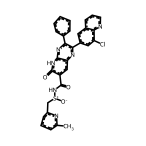 Cc1cccc(C[S+]([O-])NC(=O)c2cc3nc(-c4cc(Cl)c5ncccc5c4)c(-c4ccccc4)nc3[nH]c2=O)n1